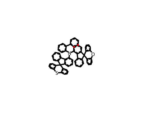 c1ccc(-c2ccccc2N(c2cccc3c2-c2ccccc2C32c3ccccc3Oc3ccccc32)c2cccc3c2-c2ccccc2C32c3ccccc3Sc3ccccc32)cc1